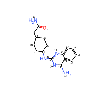 NC(=O)CC1CCC(Nc2nc(N)c3ccccc3n2)CC1